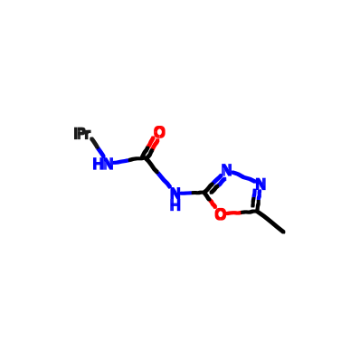 Cc1nnc(NC(=O)NC(C)C)o1